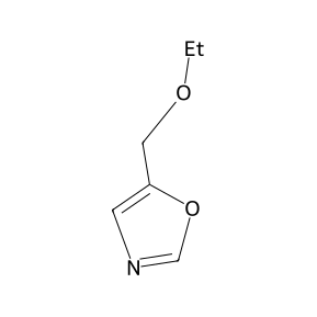 CCOCc1cnco1